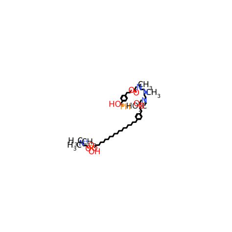 CN(CCN(C)CC(=O)OCCc1ccc(C(O)=P)cc1)CCN(CC(=O)O)CC(=O)OCCc1ccc(CCCCCCCCCCCCCCCCCCOP(=O)(O)OCC[N+](C)(C)C)cc1